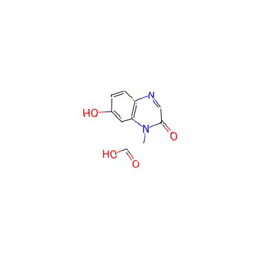 Cn1c(=O)cnc2ccc(O)cc21.O=CO